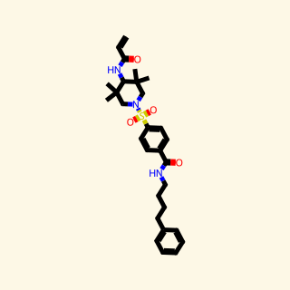 C=CC(=O)NC1C(C)(C)CN(S(=O)(=O)c2ccc(C(=O)NCCCCc3ccccc3)cc2)CC1(C)C